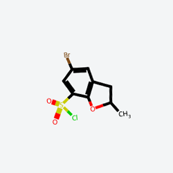 CC1Cc2cc(Br)cc(S(=O)(=O)Cl)c2O1